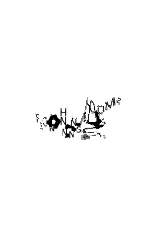 COC(=O)c1scc(C)c1Nc1nc2c(Nc3ccc(C(F)(F)F)nc3)ncnc2s1